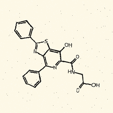 O=C(O)CNC(=O)c1nc(-c2ccccc2)c2nc(-c3ccccc3)sc2c1O